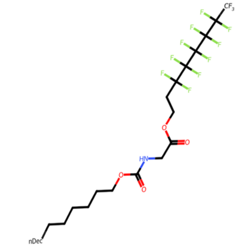 CCCCCCCCCCCCCCCCOC(=O)NCC(=O)OCCC(F)(F)C(F)(F)C(F)(F)C(F)(F)C(F)(F)C(F)(F)F